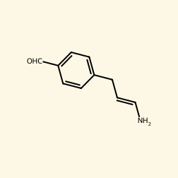 NC=CCc1ccc(C=O)cc1